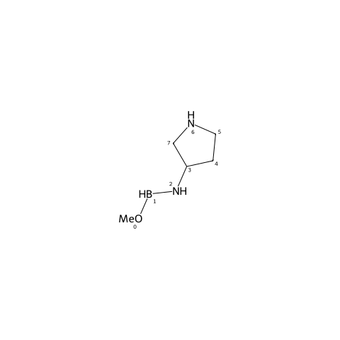 COBNC1CCNC1